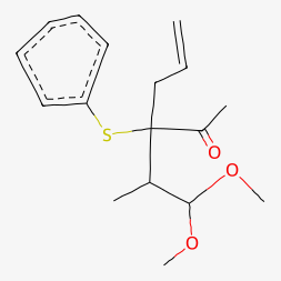 C=CCC(Sc1ccccc1)(C(C)=O)C(C)C(OC)OC